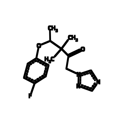 CC(Oc1ccc(F)cc1)C(C)(C)C(=O)Cn1cncn1